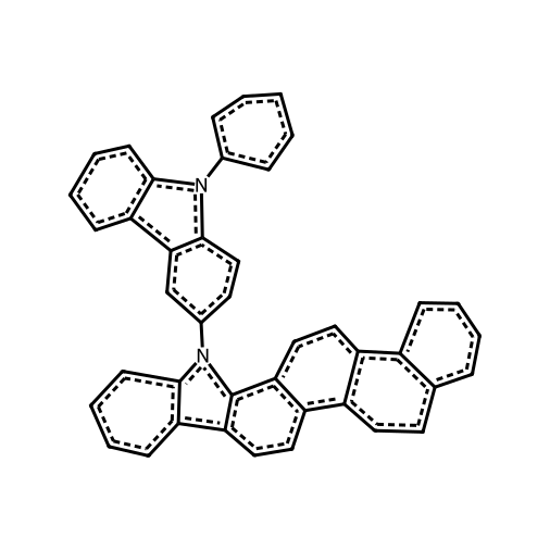 c1ccc(-n2c3ccccc3c3cc(-n4c5ccccc5c5ccc6c7ccc8ccccc8c7ccc6c54)ccc32)cc1